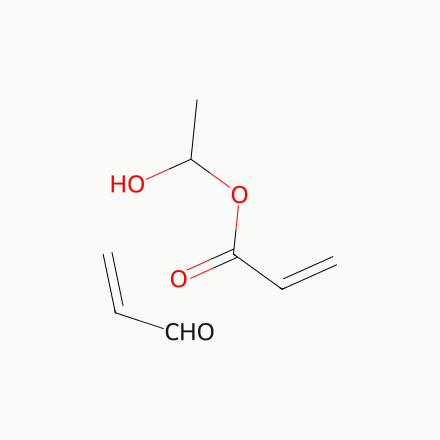 C=CC(=O)OC(C)O.C=CC=O